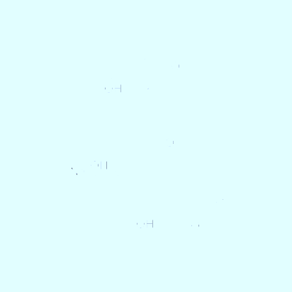 C(OCC1CO1)C1CO1.OCCCCO.[Na+].[OH-]